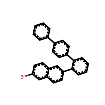 Brc1ccc2cc(-c3ccccc3-c3ccc(-c4ccccc4)cc3)ccc2c1